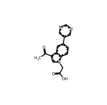 CC(=O)c1cn(CC(=O)O)c2ccc(-c3cncnc3)cc12